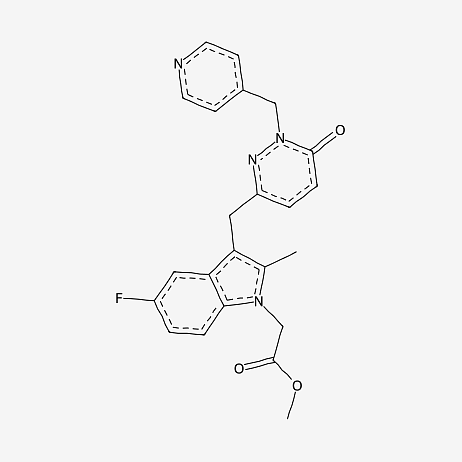 COC(=O)Cn1c(C)c(Cc2ccc(=O)n(Cc3ccncc3)n2)c2cc(F)ccc21